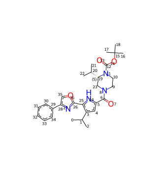 CC(C)c1cc(C(=O)N2CCN(C(=O)OC(C)(C)C)[C@@H](C(C)C)C2)[nH]c1-c1nc(-c2ccccc2)co1